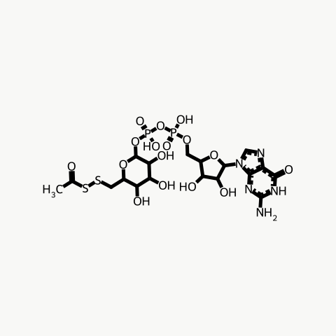 CC(=O)SSCC1OC(OP(=O)(O)OP(=O)(O)OCC2OC(n3cnc4c(=O)[nH]c(N)nc43)C(O)C2O)C(O)C(O)C1O